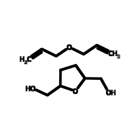 C=CCOCC=C.OCC1CCC(CO)O1